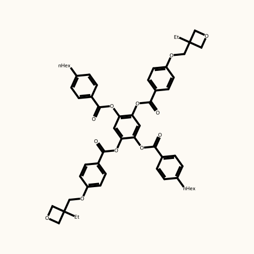 CCCCCCc1ccc(C(=O)Oc2cc(OC(=O)c3ccc(OCC4(CC)COC4)cc3)c(OC(=O)c3ccc(CCCCCC)cc3)cc2OC(=O)c2ccc(OCC3(CC)COC3)cc2)cc1